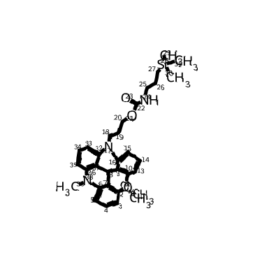 COc1cccc2c1C1c3c(OC)cccc3N(CCCOC(=O)NCCC[Si](C)(C)C)c3cccc(c31)N2C